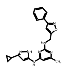 Cc1cc(Nc2cc(C3CC3)n[nH]2)nc(NCc2cc(-c3ccccc3)no2)n1